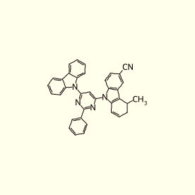 CC1CC=Cc2c1c1cc(C#N)ccc1n2-c1cc(-n2c3ccccc3c3ccccc32)nc(-c2ccccc2)n1